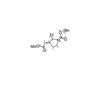 CCC1C(=CC(=O)OC)CCN1C(=O)OC(C)(C)C